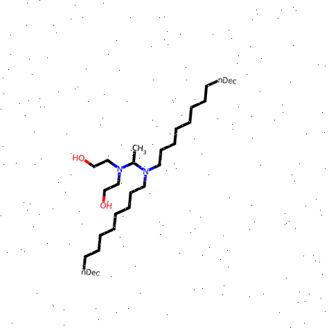 CCCCCCCCCCCCCCCCCCN(CCCCCCCCCCCCCCCCCC)C(C)N(CCO)CCO